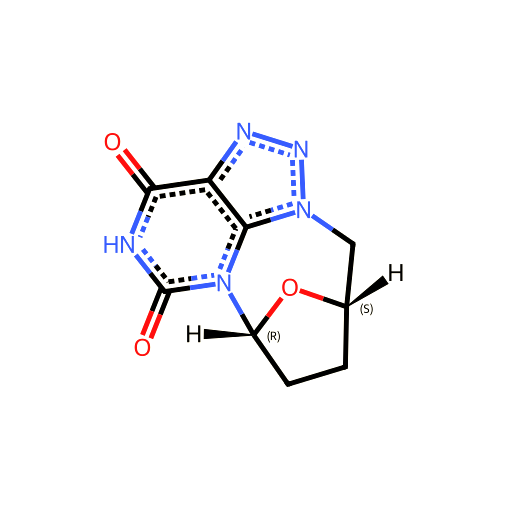 O=c1[nH]c(=O)n2c3c1nnn3C[C@@H]1CC[C@H]2O1